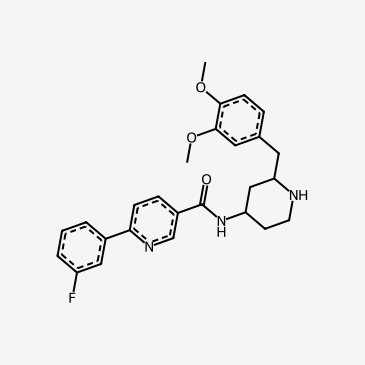 COc1ccc(CC2CC(NC(=O)c3ccc(-c4cccc(F)c4)nc3)CCN2)cc1OC